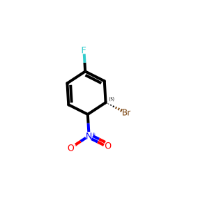 O=[N+]([O-])C1C=CC(F)=C[C@@H]1Br